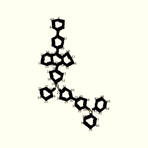 c1ccc(-c2ccc(-c3c4ccccc4c(-c4ccc(N(c5ccccc5)c5ccc(-c6ccc(N(c7ccccc7)c7ccccc7)cc6)cc5)cc4)c4ccccc34)cc2)cc1